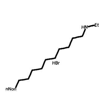 Br.CCCCCCCCCCCCCCCCCCCNCC